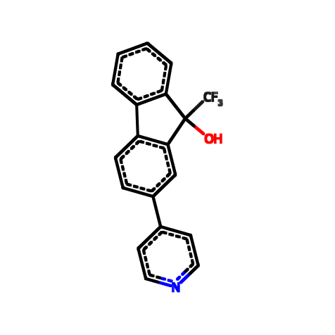 OC1(C(F)(F)F)c2ccccc2-c2ccc(-c3ccncc3)cc21